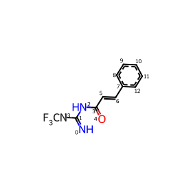 N=C(NC(=O)/C=C/c1ccccc1)NC(F)(F)F